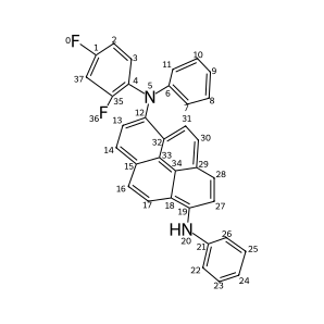 Fc1ccc(N(c2ccccc2)c2ccc3ccc4c(Nc5ccccc5)ccc5ccc2c3c54)c(F)c1